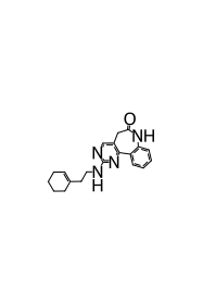 O=C1Cc2cnc(NCCC3=CCCCC3)nc2-c2ccccc2N1